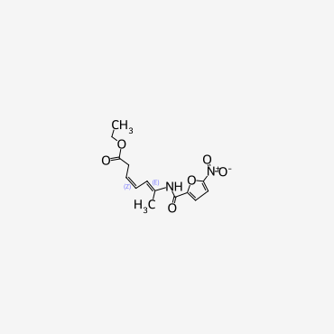 CCOC(=O)C/C=C\C=C(/C)NC(=O)c1ccc([N+](=O)[O-])o1